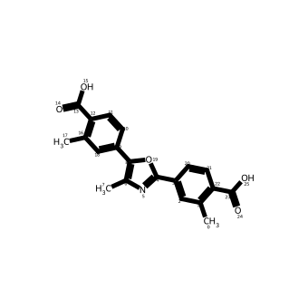 Cc1cc(-c2nc(C)c(-c3ccc(C(=O)O)c(C)c3)o2)ccc1C(=O)O